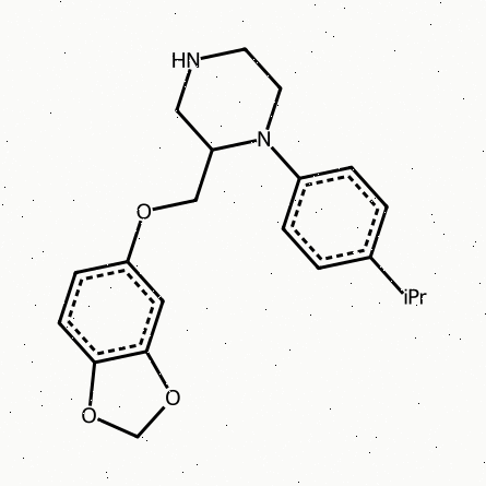 CC(C)c1ccc(N2CCNCC2COc2ccc3c(c2)OCO3)cc1